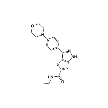 CCNC(=O)c1cc2[nH]nc(-c3ccc(N4CCOCC4)cc3)c2s1